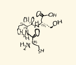 CC[C@H](C)[C@H](NC(=O)[C@@H](N)CS)C(=O)N[C@@H](CO)C(=O)O